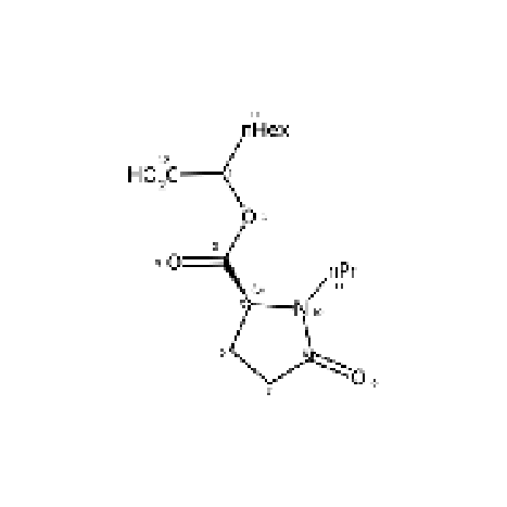 CCCCCCC(OC(=O)[C@@H]1CCC(=O)N1CCC)C(=O)O